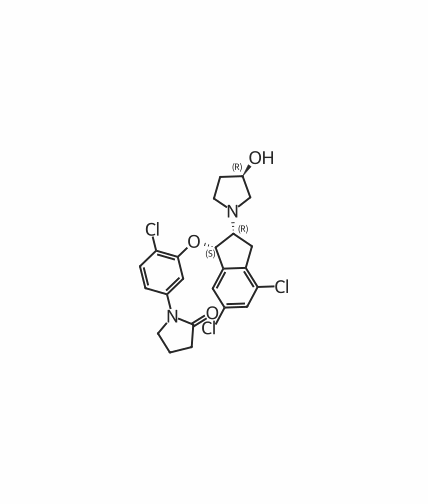 O=C1CCCN1c1ccc(Cl)c(O[C@H]2c3cc(Cl)cc(Cl)c3C[C@H]2N2CC[C@@H](O)C2)c1